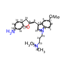 COc1ccc2c(c1)c(C=C1Cc3ccc(N)cc3O1)cn2CCCN(C)C